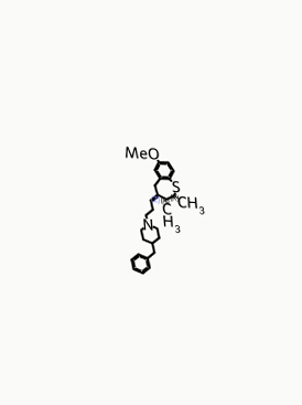 COc1ccc2c(c1)C/C(=C/CCN1CCC(Cc3ccccc3)CC1)[C@@H](C)[C@@H](C)S2